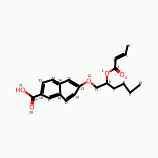 CC=CC(=O)OC(CCCC)COc1ccc2cc(C(=O)O)ccc2c1